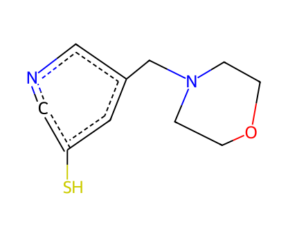 Sc1cncc(CN2CCOCC2)c1